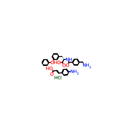 Cl.NCc1ccc(C(=O)N[C@@H](Cc2cccc(Oc3ccccc3)c2)C(=O)O)cc1.Nc1ccc(/C=C/C(=O)O)cc1